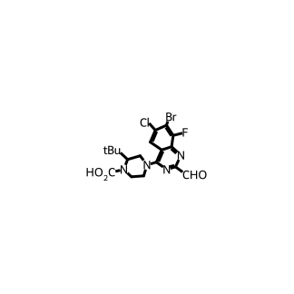 CC(C)(C)C1CN(c2nc(C=O)nc3c(F)c(Br)c(Cl)cc23)CCN1C(=O)O